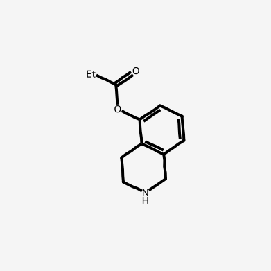 CCC(=O)Oc1cccc2c1CCNC2